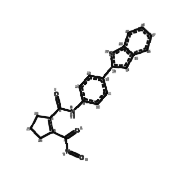 O=NC(=O)C1=C(C(=O)Nc2ccc(-c3cc4ccccc4s3)cc2)CCC1